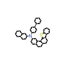 c1ccc(-c2ccc(N(c3ccc4ccccc4c3)c3ccc4ccc5ccc6c7ccccc7sc6c5c4c3)cc2)cc1